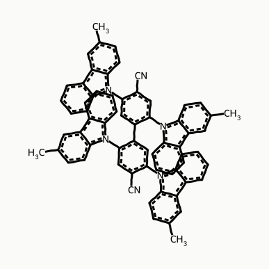 Cc1ccc2c(c1)c1ccccc1n2-c1cc(-c2cc(-n3c4ccccc4c4cc(C)ccc43)c(C#N)cc2-n2c3ccccc3c3cc(C)ccc32)c(-n2c3ccccc3c3cc(C)ccc32)cc1C#N